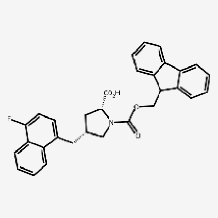 O=C(O)[C@H]1C[C@@H](Cc2ccc(F)c3ccccc23)CN1C(=O)OCC1c2ccccc2-c2ccccc21